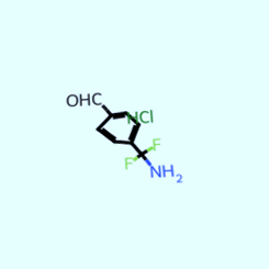 Cl.NC(F)(F)c1ccc(C=O)cc1